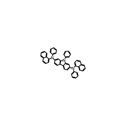 c1ccc(N(c2ccc3c4ccc(N(c5ccccc5)c5cccc6ccccc56)cc4n(-c4ccccc4)c3c2)c2cccc3ccccc23)cc1